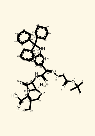 CC(C)(C)OC(=O)CO/N=C(\C(=O)NC1C(=O)N2C(C(=O)O)=C(CI)CS[C@H]12)c1csc(NC(c2ccccc2)(c2ccccc2)c2ccccc2)n1